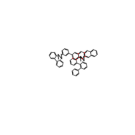 c1ccc(-c2ccccc2-c2c(-c3ccccc3)cccc2N(c2ccc(-c3cccc(-n4c5ccccc5c5ccccc54)c3)cc2)c2ccc3ccccc3c2)cc1